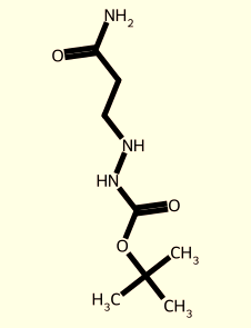 CC(C)(C)OC(=O)NNCCC(N)=O